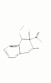 COC1c2ccccc2C=C(O)C1(N)C(=O)O